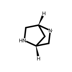 C1N[C@H]2C[N][C@@H]1C2